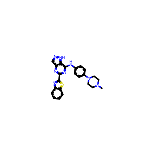 CN1CCN(c2ccc(Nc3nc(-c4nc5ccccc5s4)nc4cn[nH]c34)cc2)CC1